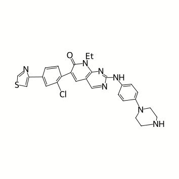 CCn1c(=O)c(-c2ccc(-c3cscn3)cc2Cl)cc2cnc(Nc3ccc(N4CCNCC4)cc3)nc21